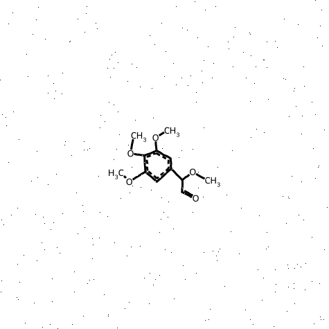 COc1cc(C(C=O)OC)cc(OC)c1OC